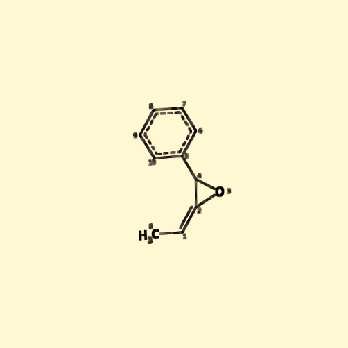 CC=C1OC1c1ccccc1